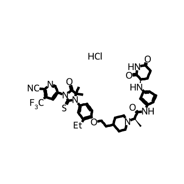 CCc1cc(N2C(=S)N(c3cnc(C#N)c(C(F)(F)F)c3)C(=O)C2(C)C)ccc1OCCC1CCN([C@H](C)C(=O)Nc2cccc(N[C@H]3CCC(=O)NC3=O)c2)CC1.Cl